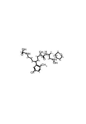 Cc1ccc(Cl)cc1C(CCCNC(=O)O)CCN(C)C(=O)NC(CNO)C[C@H]1CCCOC1